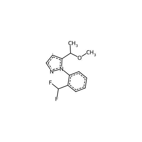 COC(C)c1[c]cnn1-c1ccccc1C(F)F